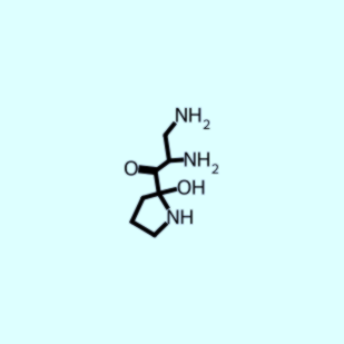 NCC(N)C(=O)C1(O)CCCN1